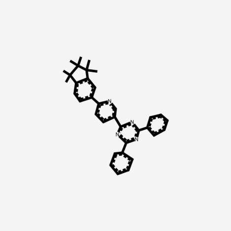 CC1(C)c2ccc(-c3ccc(-c4nc(-c5ccccc5)nc(-c5ccccc5)n4)cn3)cc2C(C)(C)C1(C)C